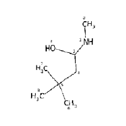 CNC(O)CC(C)(C)C